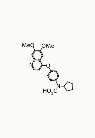 COc1cc2nccc(Oc3ccc(N(C(=O)O)C4CCCC4)cc3)c2cc1OC